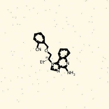 CC[C@H](COCc1ccccc1C#N)n1cnc2c(N)nc3ccccc3c21